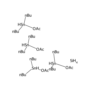 CCC[CH2][SnH]([CH2]CCC)[O]C(C)=O.CCC[CH2][SnH]([CH2]CCC)[O]C(C)=O.CCC[CH2][SnH]([CH2]CCC)[O]C(C)=O.CCC[CH2][SnH]([CH2]CCC)[O]C(C)=O.[SiH4]